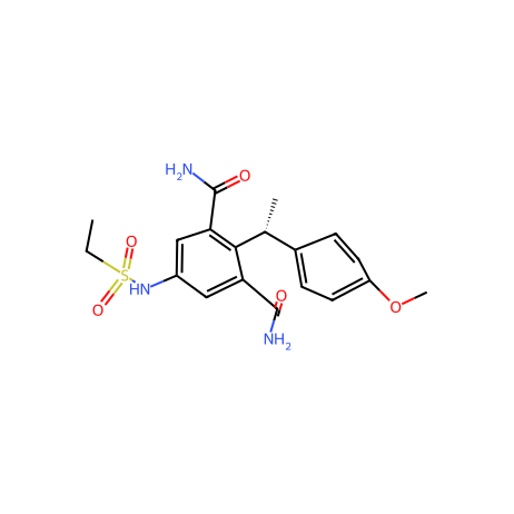 CCS(=O)(=O)Nc1cc(C(N)=O)c([C@H](C)c2ccc(OC)cc2)c(C(N)=O)c1